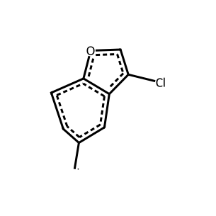 [CH2]c1ccc2occ(Cl)c2c1